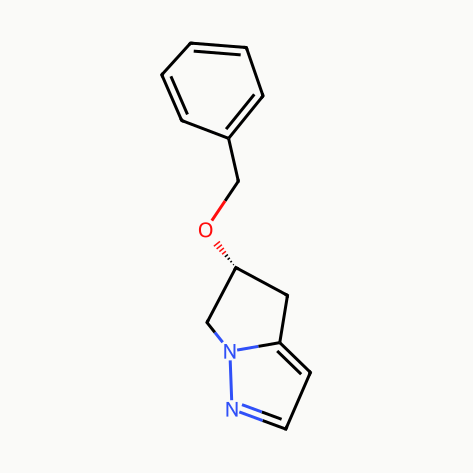 c1ccc(CO[C@@H]2Cc3ccnn3C2)cc1